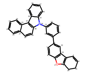 C1=Cc2c(oc3ccc(-c4cccc(-n5c6ccccc6c6c7ccccc7ccc65)c4)cc23)CC1